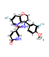 O=C(N[C@]1(c2ccc(OC(F)(F)F)c(F)c2)CCOc2cc(F)cnc21)c1ccc(=O)[nH]c1